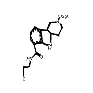 O=C(NCCCl)c1cccc2c1NC1CCN(C(=O)O)CC21